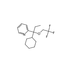 CCC(OCC(F)(F)F)(c1ccccn1)C1CCCCC1